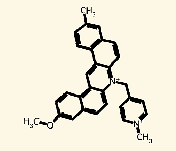 COc1ccc2c(ccc3c2cc2c4ccc(C)cc4ccc2[n+]3Cc2cc[n+](C)cc2)c1